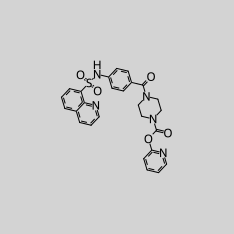 O=C(Oc1ccccn1)N1CCN(C(=O)c2ccc(NS(=O)(=O)c3cccc4cccnc34)cc2)CC1